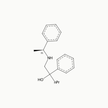 CCCC(O)(CN[C@@H](C)c1ccccc1)c1ccccc1